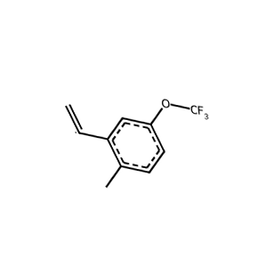 C=[C]c1cc(OC(F)(F)F)ccc1C